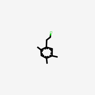 Cc1cc(C)c(CCCl)cc1C